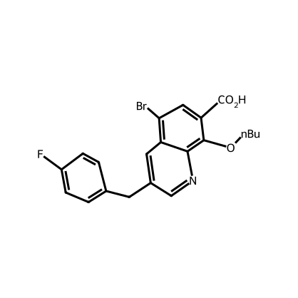 CCCCOc1c(C(=O)O)cc(Br)c2cc(Cc3ccc(F)cc3)cnc12